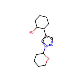 OC1CCCCC1c1cnn(C2CCCCO2)c1